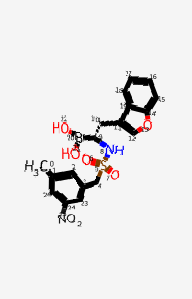 Cc1cc(CS(=O)(=O)N[C@@H](Cc2coc3ccccc23)B(O)O)cc([N+](=O)[O-])c1